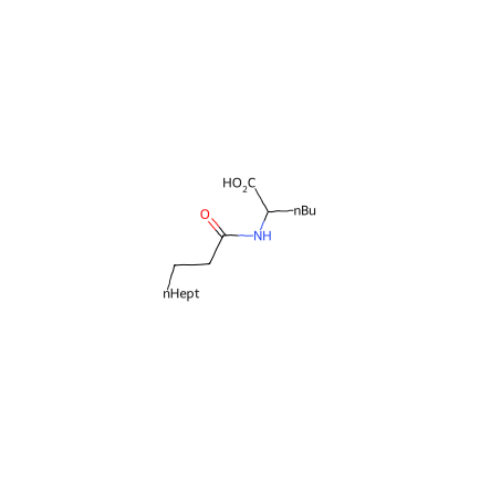 CCCCCCCCCC(=O)NC(CCCC)C(=O)O